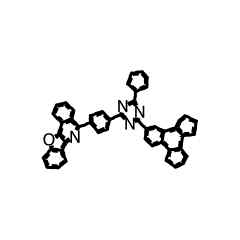 c1ccc(-c2nc(-c3ccc(-c4nc5c6ccccc6oc5c5ccccc45)cc3)nc(-c3ccc4c5ccccc5c5ccccc5c4c3)n2)cc1